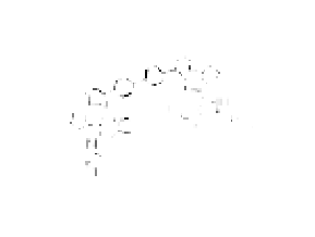 COC(=O)N[C@@H](Cc1cscn1)C(=O)N1CCC[C@H]1c1ncc(-c2ccc(-c3ccc(C4CN=C([C@@H]5CCCN5C(=O)[C@@H](NC(=O)OC)C(C)C)N4)cc3)cc2)[nH]1